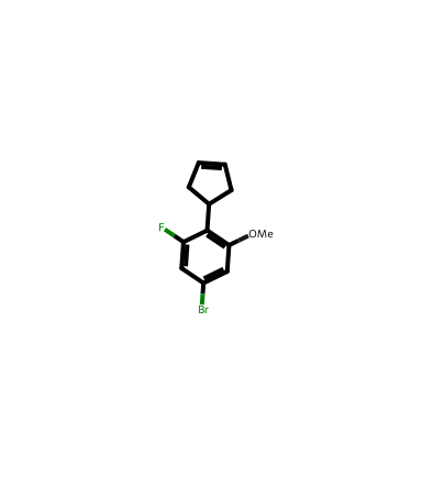 COc1cc(Br)cc(F)c1C1CC=CC1